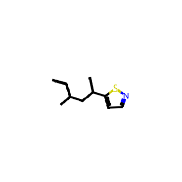 CCC(C)CC(C)c1ccns1